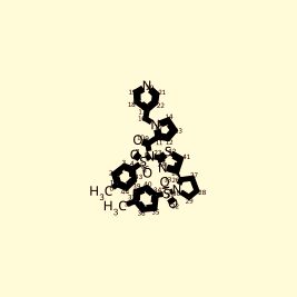 Cc1ccc(S(=O)(=O)N(C(=O)c2cccn2Cc2ccncc2)c2nc([C@H]3CCCN3S(=O)(=O)c3ccc(C)cc3)cs2)cc1